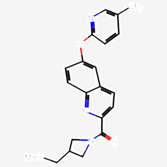 COCC1CN(C(=O)c2ccc3cc(Oc4ccc(C(F)(F)F)cn4)ccc3n2)C1